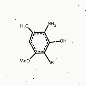 COc1cc(C)c(N)c(O)c1C(C)C